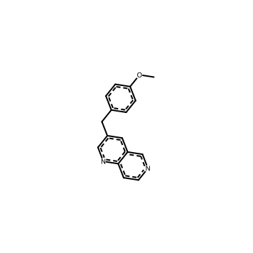 COc1ccc(Cc2cnc3ccncc3c2)cc1